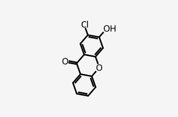 O=c1c2ccccc2oc2cc(O)c(Cl)cc12